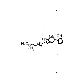 CN(C)CCN1CC(c2cc3cc(-c4ccccc4O)nnc3[nH]2)C1